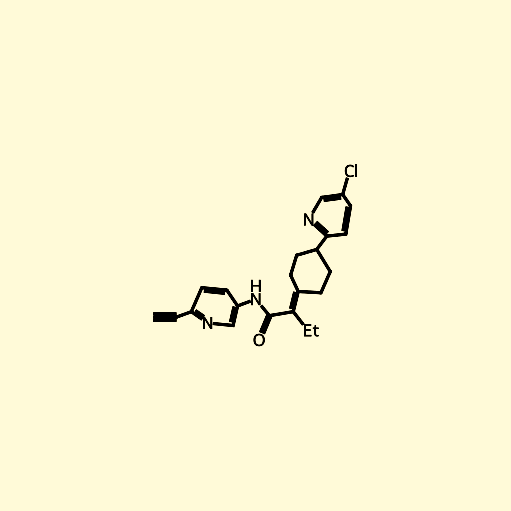 C#Cc1ccc(NC(=O)C(CC)=C2CCC(c3ccc(Cl)cn3)CC2)cn1